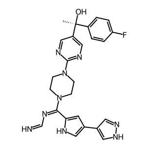 C[C@](O)(c1ccc(F)cc1)c1cnc(N2CCN(/C(=N/C=N)c3cc(-c4cn[nH]c4)c[nH]3)CC2)nc1